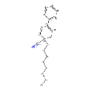 CCCCCCCCC1(C#N)C=CC(c2ccccc2)=CC1